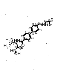 C[C@@H](N)[C@H](NC(=O)c1ccc(-c2ccc(CNCC(F)F)cc2)cc1)C(=O)NO